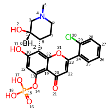 B[C@@]1(O)CN(C)CC[C@@H]1c1c(O)cc(OP(=O)(O)O)c2c(=O)cc(-c3ccccc3Cl)oc12